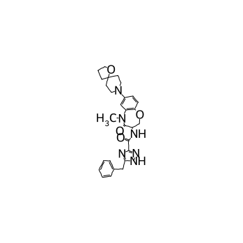 CN1C(=O)[C@@H](NC(=O)c2n[nH]c(Cc3ccccc3)n2)COc2ccc(N3CCC4(CCCO4)CC3)cc21